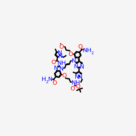 CCn1cc(-c2ncc3c4cc(C(N)=O)cc(OCCCOC)c4n(C/C=C/Cn4c(NC(=O)c5cc(C)nn5CC)nc5cc(C(N)=O)cc(OCCCNC(=O)OC(C)(C)C)c54)c3n2)c(C)n1